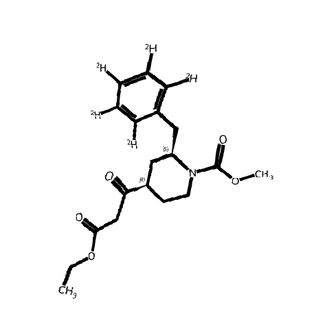 [2H]c1c([2H])c([2H])c(C[C@@H]2C[C@H](C(=O)CC(=O)OCC)CCN2C(=O)OC)c([2H])c1[2H]